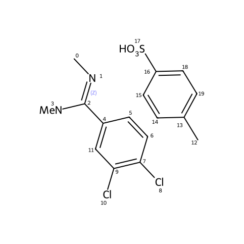 C/N=C(\NC)c1ccc(Cl)c(Cl)c1.Cc1ccc(S(=O)(=O)O)cc1